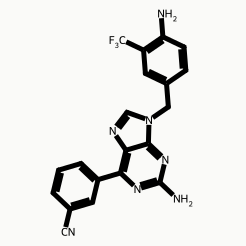 N#Cc1cccc(-c2nc(N)nc3c2ncn3Cc2ccc(N)c(C(F)(F)F)c2)c1